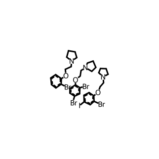 Brc1cc(I)ccc1OCCN1CCCC1.Brc1ccc(OCCN2CCCC2)c(Br)c1.Brc1ccccc1OCCN1CCCC1